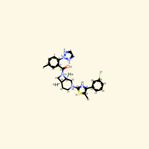 Cc1ccc(-n2nccn2)c(C(=O)N2C[C@@H]3CCN(c4nc(-c5cccc(F)c5)c(C)s4)C[C@@H]32)c1